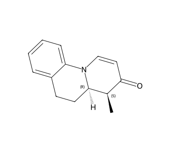 C[C@@H]1C(=O)C=CN2c3ccccc3CC[C@H]12